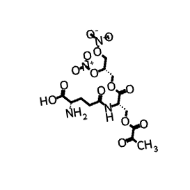 CC(=O)C(=O)OC[C@H](NC(=O)CC[C@H](N)C(=O)O)C(=O)OC[C@@H](CO[N+](=O)[O-])O[N+](=O)[O-]